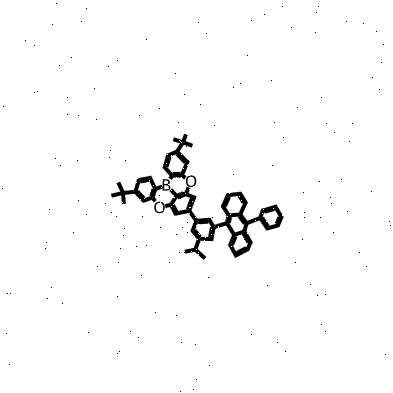 CC(C)c1cc(-c2cc3c4c(c2)Oc2cc(C(C)(C)C)ccc2B4c2ccc(C(C)(C)C)cc2O3)cc(-c2c3ccccc3c(-c3ccccc3)c3ccccc23)c1